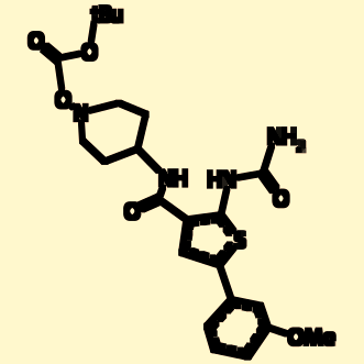 COc1cccc(-c2cc(C(=O)NC3CCN(OC(=O)OC(C)(C)C)CC3)c(NC(N)=O)s2)c1